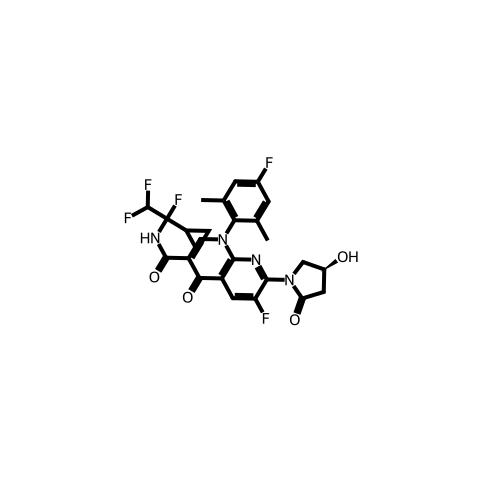 Cc1cc(F)cc(C)c1-n1cc(C(=O)NC(F)(C(F)F)C2CC2)c(=O)c2cc(F)c(N3C[C@@H](O)CC3=O)nc21